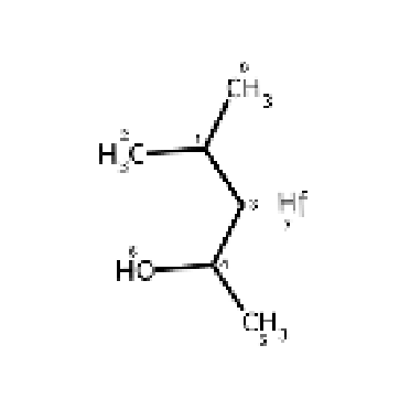 CC(C)CC(C)O.[Hf]